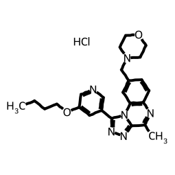 CCCCOc1cncc(-c2nnc3c(C)nc4ccc(CN5CCOCC5)cc4n23)c1.Cl